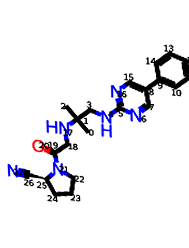 CC(C)(CNc1ncc(-c2ccccc2)cn1)NCC(=O)N1CCC[C@H]1C#N